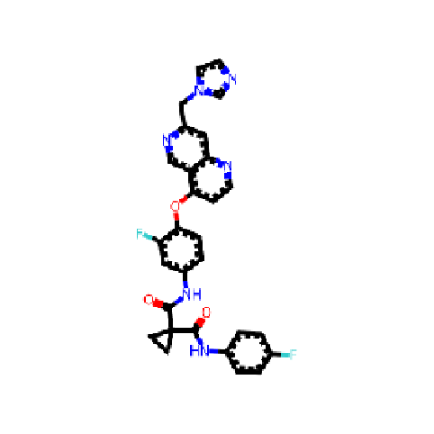 O=C(Nc1ccc(F)cc1)C1(C(=O)Nc2ccc(Oc3ccnc4cc(Cn5ccnc5)ncc34)c(F)c2)CC1